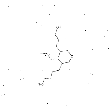 CCO[C@@H]1C(CCCO)COCC1CCCCO